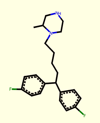 CC1CNCCN1CCCCC(c1ccc(F)cc1)c1ccc(F)cc1